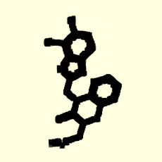 O=C(O)CC1Sc2cccnc2N(Cc2nc3c(Cl)c(Cl)ccc3s2)C1=O